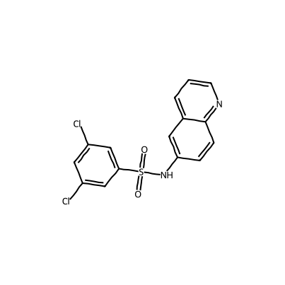 O=S(=O)(Nc1ccc2ncccc2c1)c1cc(Cl)cc(Cl)c1